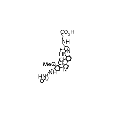 COc1cc(-c2nccc(-c3cccc(Nc4nccc(CNCCCC(=O)O)c4F)c3Cl)c2Cl)ccc1CNCC1CCC(=O)N1